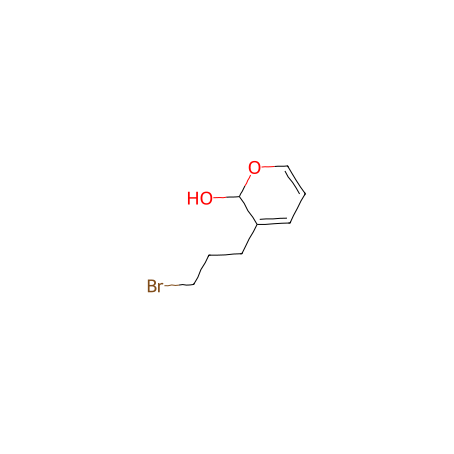 OC1OC=CC=C1CCCBr